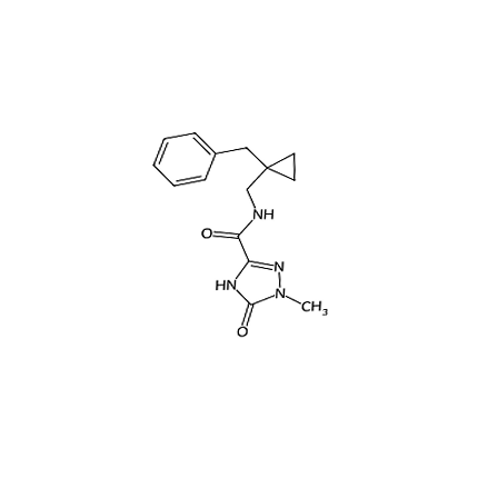 Cn1nc(C(=O)NCC2(Cc3ccccc3)CC2)[nH]c1=O